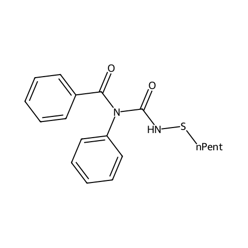 CCCCCSNC(=O)N(C(=O)c1ccccc1)c1ccccc1